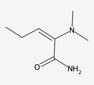 CC/C=C(\C(N)=O)N(C)C